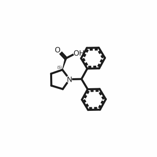 O=C(O)[C@@H]1CCCN1C(c1ccccc1)c1ccccc1